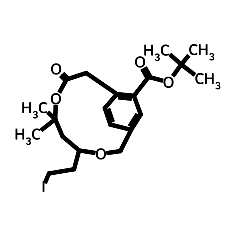 CC(C)(C)OC(=O)c1cc2ccc1CC(=O)OC(C)(C)CC(CCI)OC2